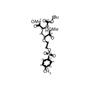 COC(=O)[C@H](C[C@H](OCCOS(=O)(=O)c1ccc(C)cc1)C(=O)OC)NC(=O)OC(C)(C)C